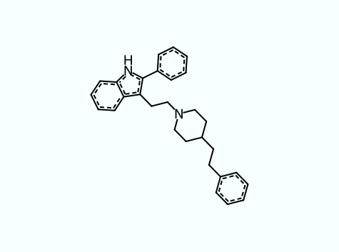 c1ccc(CCC2CCN(CCc3c(-c4ccccc4)[nH]c4ccccc34)CC2)cc1